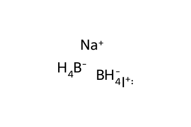 [BH4-].[BH4-].[I+].[Na+]